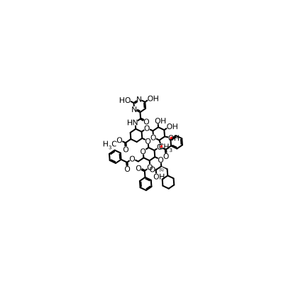 COC(=O)C1CC(NC(=O)c2cc(O)nc(O)n2)C(OC2OC(C)C(O)C(O)C2O)C(OC2OC(COC(=O)c3ccccc3)C(OC(=O)c3ccccc3)C(O[C@@H](CC3CCCCC3)C(=O)O)C2OC(=O)c2ccccc2)C1